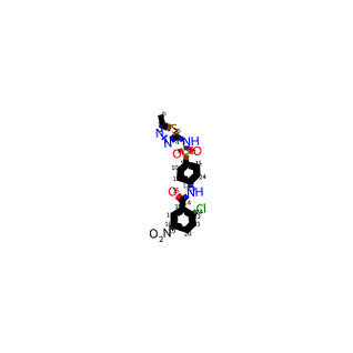 Cc1nnc(NS(=O)(=O)c2ccc(NC(=O)c3cc([N+](=O)[O-])ccc3Cl)cc2)s1